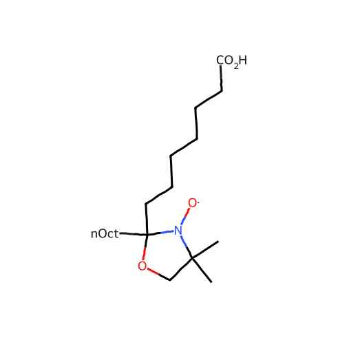 CCCCCCCCC1(CCCCCCC(=O)O)OCC(C)(C)N1[O]